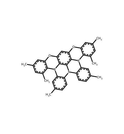 Cc1cc(C)c2c(c1)Oc1cc3c4c5c1B2c1cc(C)ccc1N5c1ccc(C)cc1B4c1c(C)cc(C)cc1O3